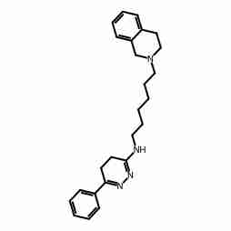 c1ccc(C2=NN=C(NCCCCCCN3CCc4ccccc4C3)CC2)cc1